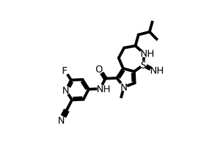 CC(C)CC1CCc2c(cn(C)c2C(=O)Nc2cc(F)nc(C#N)c2)S(=N)N1